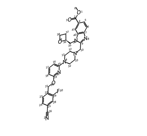 COC(=O)c1ccc2nc(CN3CCN(c4cccc(OCc5ccc(C#N)cc5F)n4)CC3)n(C[C@@H]3CCO3)c2c1